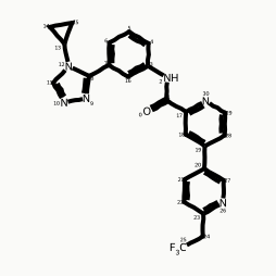 O=C(Nc1cccc(-c2nncn2C2CC2)c1)c1cc(-c2ccc(CC(F)(F)F)nc2)ccn1